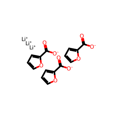 O=C([O-])c1ccco1.O=C([O-])c1ccco1.O=C([O-])c1ccco1.[Li+].[Li+].[Li+]